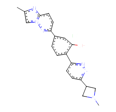 Cc1cn2nc(-c3ccc(-c4ccc(C5CN(C)C5)nn4)c(O)c3)ccc2n1.Cl